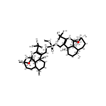 COP(=O)(OCC1=C(C(F)(F)F)O[C@@H]2O[C@]3(C)CCC4[C@H](C)CC[C@@H]1[C@]42OO3)OCC1=C(C(F)(F)F)O[C@@H]2O[C@]3(C)CCC4[C@H](C)CC[C@@H]1[C@]42OO3